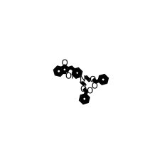 O=C(OCCN(CCOC(=O)c1ccccc1)c1ccc(CC2C(=O)c3ccccc3C2O)cc1)c1ccccc1